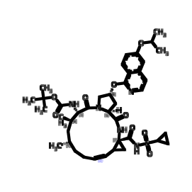 CC(C)Oc1ccc2c(O[C@@H]3C[C@H]4C(=O)N[C@]5(C(=O)NS(=O)(=O)C6CC6)CC5/C=C\CC[C@H](C)C[C@@H](C)[C@H](NC(=O)OC(C)(C)C)C(=O)N4C3)nccc2c1